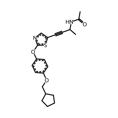 CC(=O)NC(C)C#Cc1cnc(Oc2ccc(OCC3CCCC3)cc2)s1